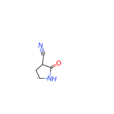 N#CC1C[CH]NC1=O